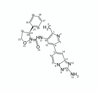 Cc1ncc(-c2ccn3nc(N)nc3c2)cc1NC(=O)N1OCC[C@H]1c1ccccc1